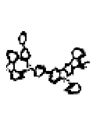 CC1(C)c2ccccc2-c2cc3c4cc(-c5ccc(N(c6ccc(-c7ccccc7)cc6)c6cccc7sc8ccccc8c67)cc5)ccc4n(-c4ccccc4)c3cc21